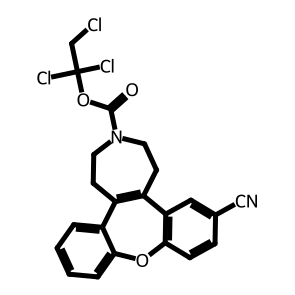 N#Cc1ccc2c(c1)C1=C(CCN(C(=O)OC(Cl)(Cl)CCl)CC1)c1ccccc1O2